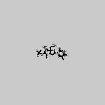 Cc1cn([C@H]2C[C@H](NC(=O)OC(C)(C)C)C(CO)(CO)O2)c(=O)[nH]c1=O